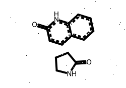 O=C1CCCN1.O=c1ccc2ccccc2[nH]1